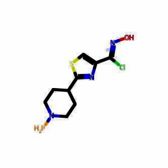 O/N=C(\Cl)c1csc(C2CCN(P)CC2)n1